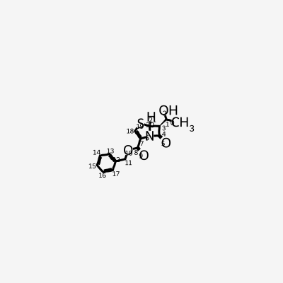 CC(O)[C@H]1C(=O)N2C(C(=O)OCc3ccccc3)=CS[C@H]12